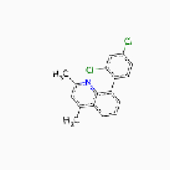 Cc1cc(C)c2cccc(-c3ccc(Cl)cc3Cl)c2n1